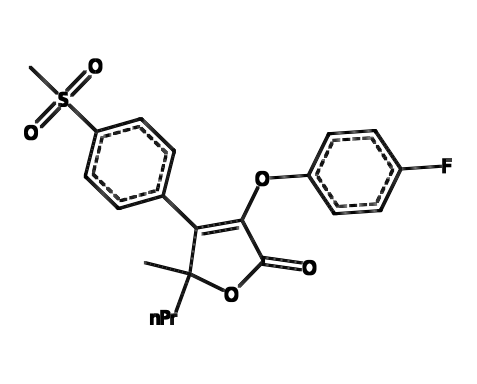 CCCC1(C)OC(=O)C(Oc2ccc(F)cc2)=C1c1ccc(S(C)(=O)=O)cc1